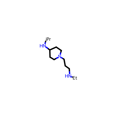 CCNCCCN1CCC(NC(C)C)CC1